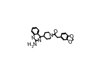 Nc1nc(C2CCN(C(=O)Cc3ccc4c(c3)OCO4)CC2)c2ccccc2n1